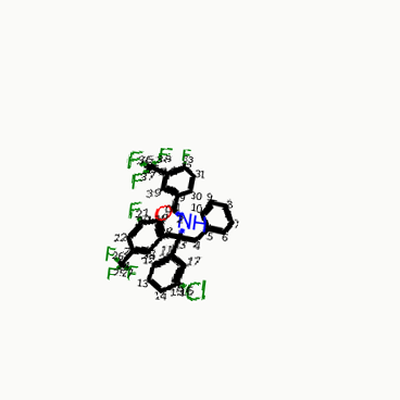 O=C(NC(Cc1ccccc1)(c1cccc(Cl)c1)c1cc(F)cc(C(F)(F)F)c1)c1ccc(F)c(C(F)(F)F)c1